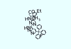 CCOC(=O)CC(Nc1nc(-c2[nH]nc3ncc(C(c4ccccc4)(c4ccccc4)c4ccccc4F)cc23)ncc1F)C1(C)CCCC1